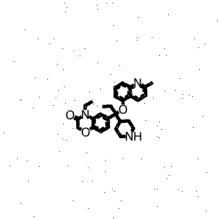 CCN1C(=O)COc2ccc(C(CC)(Oc3cccc4nc(C)ccc34)C3CCNCC3)cc21